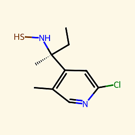 CC[C@](C)(NS)c1cc(Cl)ncc1C